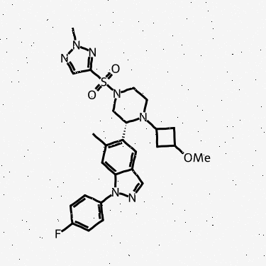 COC1CC(N2CCN(S(=O)(=O)c3cnn(C)n3)C[C@H]2c2cc3cnn(-c4ccc(F)cc4)c3cc2C)C1